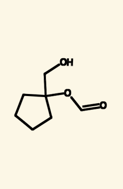 O=COC1(CO)CCCC1